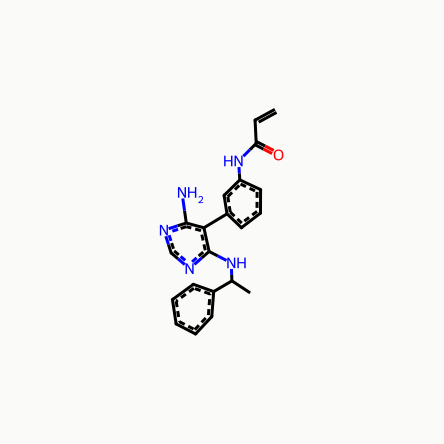 C=CC(=O)Nc1cccc(-c2c(N)ncnc2NC(C)c2ccccc2)c1